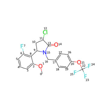 COc1cccc(F)c1C1CC(Cl)C(=O)N1Cc1ccc(OC(F)(F)F)cc1